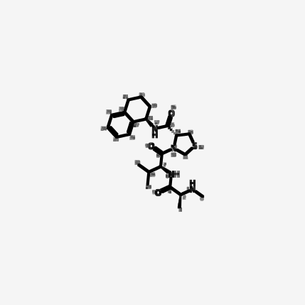 CN[C@@H](C)C(=O)N[C@H](C(=O)N1CSC[C@H]1C(=O)N[C@@H]1CCCc2ccccc21)C(C)C